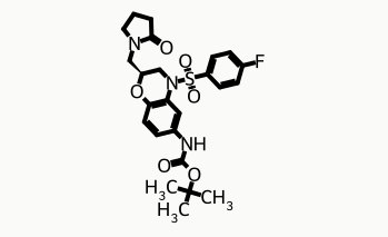 CC(C)(C)OC(=O)Nc1ccc2c(c1)N(S(=O)(=O)c1ccc(F)cc1)C[C@H](CN1CCCC1=O)O2